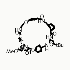 COCCNC(=O)[C@@H]1Cc2ccc(cc2)NC(=O)C(CCC(C)(C)C)NC(=O)c2cccc(c2)CNC(=O)c2ccc(cc2)OCCNC(=O)CC(C)(C)CC(=O)N1